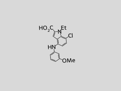 CCn1c(C(=O)O)cc2c(Nc3cccc(OC)c3)ccc(Cl)c21